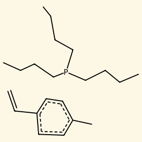 C=Cc1ccc(C)cc1.CCCCP(CCCC)CCCC